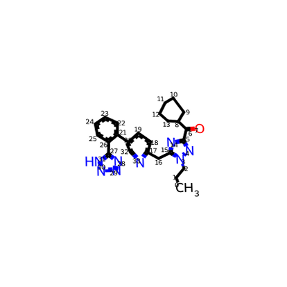 CCCn1nc(C(=O)C2CCCCC2)nc1Cc1ccc(-c2ccccc2-c2nnn[nH]2)cn1